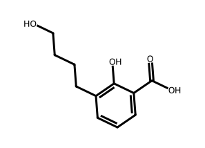 O=C(O)c1cccc(CCCCO)c1O